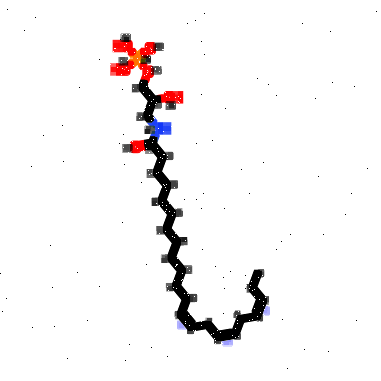 CC/C=C\C/C=C\C/C=C\CCCCCCCCCCCC(=O)NCC(O)COP(=O)(O)O